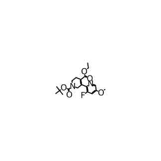 CCOC(=O)C1=C(c2ncc(OC)cc2F)CN(C(=O)OC(C)(C)C)CC1